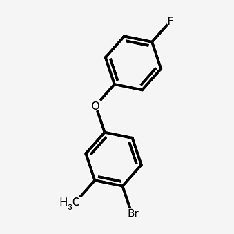 Cc1cc(Oc2ccc(F)cc2)ccc1Br